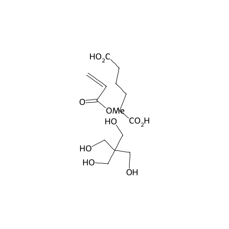 C=CC(=O)OC.O=C(O)CCCCC(=O)O.OCC(CO)(CO)CO